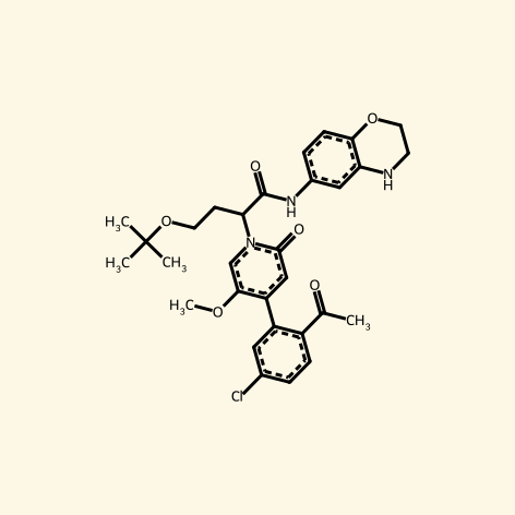 COc1cn(C(CCOC(C)(C)C)C(=O)Nc2ccc3c(c2)NCCO3)c(=O)cc1-c1cc(Cl)ccc1C(C)=O